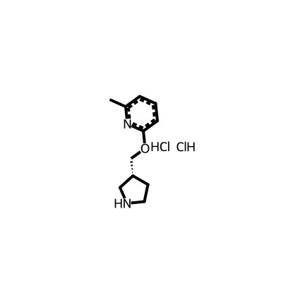 Cc1cccc(OC[C@@H]2CCNC2)n1.Cl.Cl